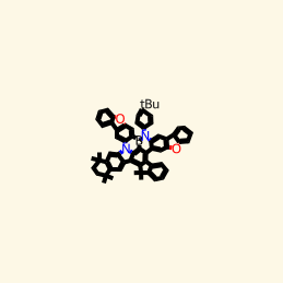 CC(C)(C)c1ccc(N2B3c4cc5oc6ccccc6c5cc4-n4c5cc6c(cc5c5c7c(c(c3c54)-c3cc4oc5ccccc5c4cc32)-c2ccccc2C7(C)C)C(C)(C)CCC6(C)C)cc1